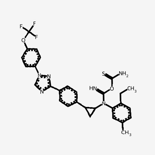 CCc1ccc(C)cc1N(C(=N)OC(N)=S)C1CC1c1ccc(-c2ncn(-c3ccc(OC(F)(F)F)cc3)n2)cc1